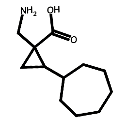 NCC1(C(=O)O)CC1C1CCCCCC1